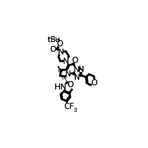 Cc1cc(C(F)(F)F)ccc1NC(=O)[C@@H]1C[C@@H](C)c2c(N3CCN(C(=O)OC(C)(C)C)CC3)c(=O)n3nc(C4=CCOCC4)nc3n21